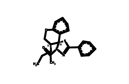 CC(=O)N1N=C(c2ccccc2)S[C@]12c1ccccc1OC[C@@H]2CCN